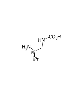 CC(C)[C@@H](N)CNC(=O)O